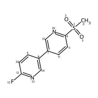 CS(=O)(=O)c1ccc(-c2ccc(F)nc2)cn1